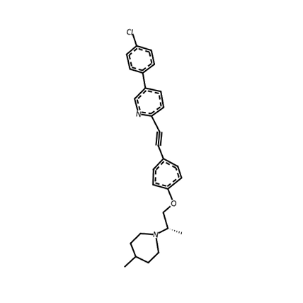 CC1CCN([C@@H](C)COc2ccc(C#Cc3ccc(-c4ccc(Cl)cc4)cn3)cc2)CC1